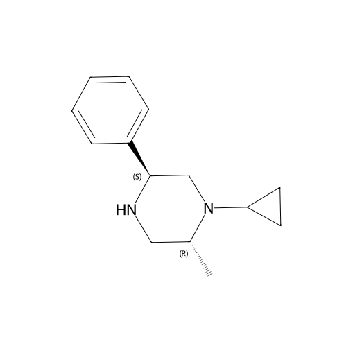 C[C@@H]1CN[C@@H](c2ccccc2)CN1C1CC1